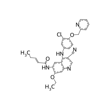 CC/C=C/C(=O)Nc1cc2c(Nc3ccc(OCc4ccccn4)c(Cl)c3)c(C#N)cnc2cc1OCC